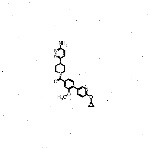 COc1cc(C(=O)N2CCC(c3ccc(N)nn3)CC2)ccc1-c1ccc(OC2CC2)nc1